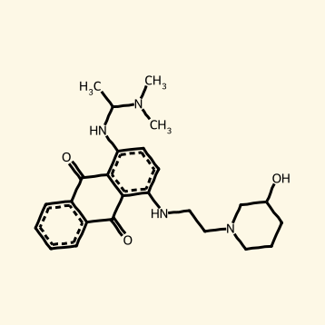 CC(Nc1ccc(NCCN2CCCC(O)C2)c2c1C(=O)c1ccccc1C2=O)N(C)C